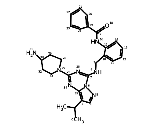 CC(C)c1cnn2c(NCc3ccccc3NC(=O)c3ccccc3)nc(N3CCC(N)CC3)nc12